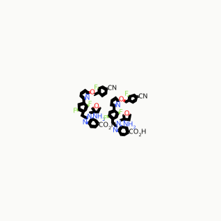 N#Cc1ccc(COc2cccc(-c3cc(F)c(Cc4nc5ccc(C(=O)O)cc5n4CC4(N)CCOC4)cc3F)n2)c(F)c1.N#Cc1ccc(COc2cccc(-c3cc(F)c(Cc4nc5ccc(C(=O)O)cc5n4CC4(N)CCOC4)cc3F)n2)c(F)c1